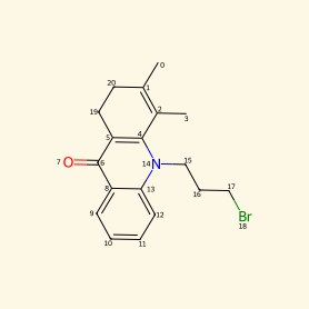 CC1=C(C)c2c(c(=O)c3ccccc3n2CCCBr)CC1